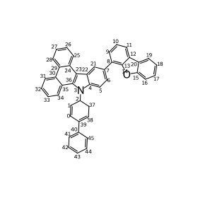 C1=CC(n2c3ccc(-c4cccc5c4oc4ccccc45)cc3c3c4ccccc4c4ccccc4c32)CC=C1c1ccccc1